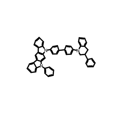 c1ccc(C2Cc3ccccc3N(c3ccc(-c4ccc(-n5c6ccccc6c6cc7c8ccccc8n(-c8ccccc8)c7cc65)cc4)cc3)C2)cc1